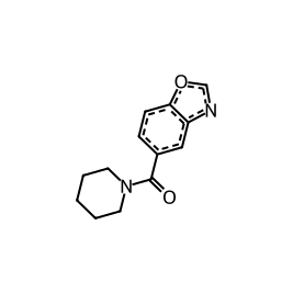 O=C(c1ccc2ocnc2c1)N1CCCCC1